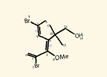 C=C(Br)/C(OC)=C(\C=C(/C)Br)C(C)(C)CO